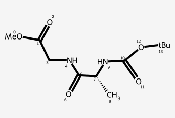 COC(=O)CNC(=O)[C@@H](C)NC(=O)OC(C)(C)C